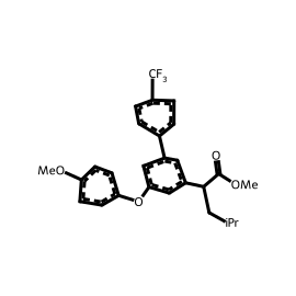 COC(=O)C(CC(C)C)c1cc(Oc2ccc(OC)cc2)cc(-c2ccc(C(F)(F)F)cc2)c1